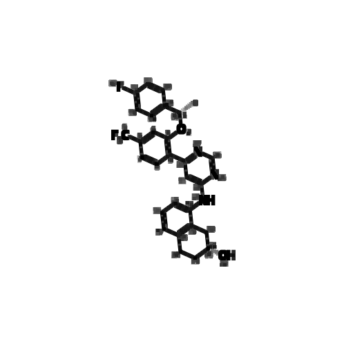 C[C@H](Oc1cc(C(F)(F)F)ccc1-c1cc(Nc2cccc3c2C[C@H](O)CC3)ncn1)c1ccc(F)cc1